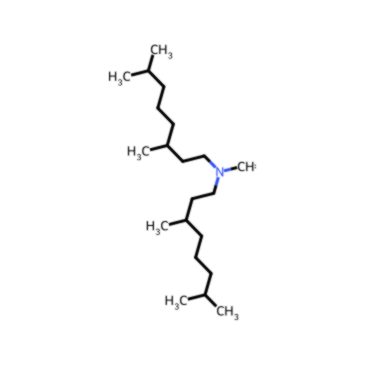 [CH]N(CCC(C)CCCC(C)C)CCC(C)CCCC(C)C